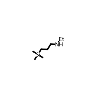 CCNCCC[Si](C)(C)C